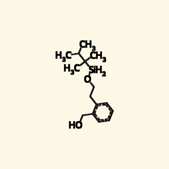 CC(C)C(C)(C)[SiH2]OCCc1ccccc1CO